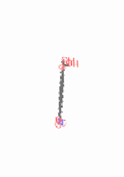 O=[N+]([O-])OCCCCC=CCC=CCC=CCC=CCCCCOC(CO)CO